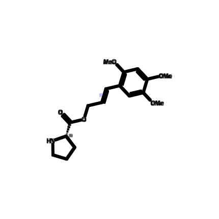 COc1cc(OC)c(OC)cc1/C=C/COC(=O)[C@@H]1CCCN1